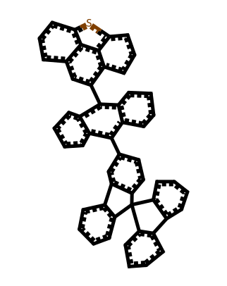 c1ccc2c(c1)-c1ccccc1C21c2ccccc2-c2cc(-c3c4ccccc4c(-c4cc5cccc6sc7cccc4c7c56)c4ccccc34)ccc21